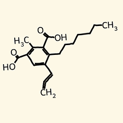 C=C=Cc1cc(C(=O)O)c(C)c(C(=O)O)c1CCCCCCC